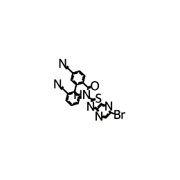 N#Cc1ccc(C(=O)Nc2nc3ncc(Br)nc3s2)c(-c2ccccc2C#N)c1